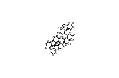 c1ccc2c(c1)-c1ccccc1C21c2ccccc2-c2ccc(N(c3ccc4oc5ccccc5c4c3)c3cccc4ccccc34)cc21